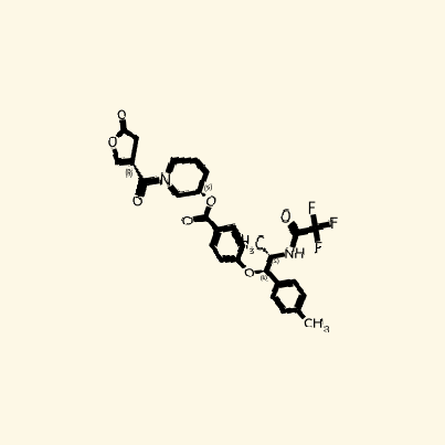 Cc1ccc([C@@H](Oc2ccc(C(=O)O[C@H]3CCCN(C(=O)[C@H]4COC(=O)C4)C3)cc2)[C@H](C)NC(=O)C(F)(F)F)cc1